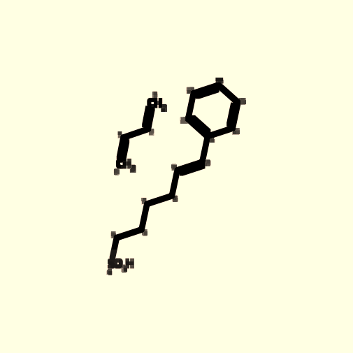 C=CC=C.O=S(=O)(O)CCCCC=Cc1ccccc1